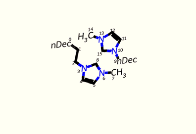 CCCCCCCCCCCCN1C=CN(C)C1.CCCCCCCCCCN1C=CN(C)C1